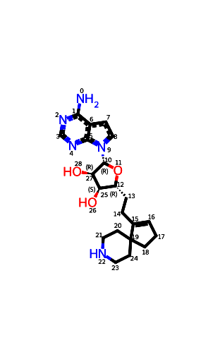 Nc1ncnc2c1ccn2[C@@H]1O[C@H](CCC2=CCCC23CCNCC3)[C@@H](O)[C@H]1O